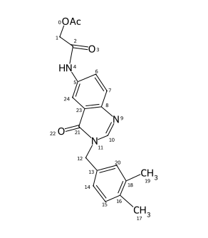 CC(=O)OCC(=O)Nc1ccc2ncn(Cc3ccc(C)c(C)c3)c(=O)c2c1